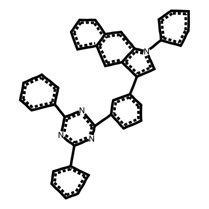 c1ccc(-c2nc(-c3ccccc3)nc(-c3cccc(-c4cn(-c5ccccc5)c5cc6ccccc6cc45)c3)n2)cc1